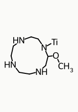 COC1CNCCNCCNCC[N]1[Ti]